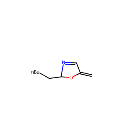 C=C1C=NC(CCCCC)O1